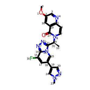 COc1cnc2ccn([C@@H](C)c3nnc4c(F)cc(-c5cnn(C)c5)cn34)c(=O)c2c1